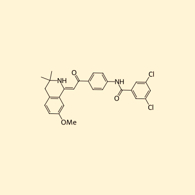 COc1ccc2c(c1)/C(=C/C(=O)c1ccc(NC(=O)c3cc(Cl)cc(Cl)c3)cc1)NC(C)(C)C2